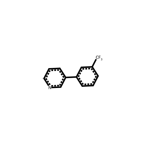 FC(F)(F)c1cccc(-c2cc[c]nc2)c1